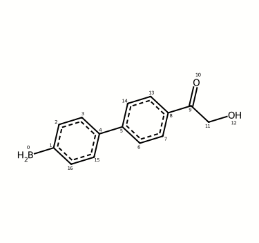 Bc1ccc(-c2ccc(C(=O)CO)cc2)cc1